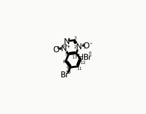 Br.[O-][n+]1cn[n+]([O-])c2cc(Br)ccc21